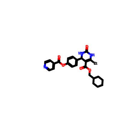 CCC1=C(C(=O)OCC2CCCCC2)C(c2ccc(OC(=O)c3ccncc3)cc2)NC(=O)N1